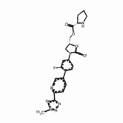 Cn1nnc(-c2ccc(-c3ccc(N4C[C@H](COC(=O)[C@@H]5CCCN5)OC4=O)cc3F)cn2)n1